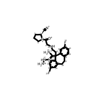 N#C[C@@H]1CCCN1C(=O)CNCCC1(/C(N)=N/NN)c2ccc(F)cc2CCc2ccc(F)cc21